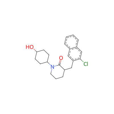 O=C1C(Cc2cc3ccccc3cc2Cl)CCCN1C1CCC(O)CC1